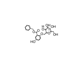 O=C(OCc1ccccc1)c1cc(O)ccc1OC[C@@H]1O[C@H](CO)[C@@H](O)[C@H](O)[C@H]1O